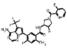 Cc1cc(F)c(-c2cc(C(F)(F)F)c3c(N)ncnn23)cc1C(=O)NC1CN(C(=O)c2ncccc2F)CC1F